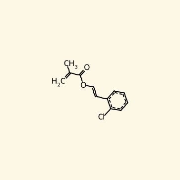 C=C(C)C(=O)OC=Cc1ccccc1Cl